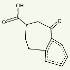 O=C1CC(C(=O)O)CCc2ccccc21